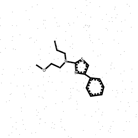 CCCN(CCOC)c1nc(-c2ccccc2)cs1